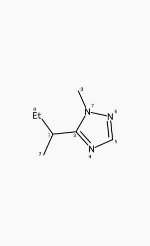 CCC(C)c1ncnn1C